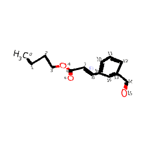 CCCCOC(=O)/C=C/c1cccc(C=O)c1